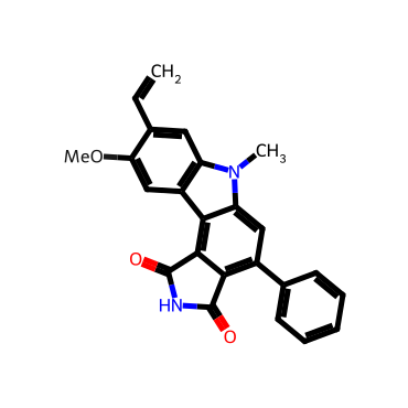 C=Cc1cc2c(cc1OC)c1c3c(c(-c4ccccc4)cc1n2C)C(=O)NC3=O